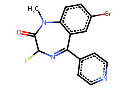 CN1C(=O)C(F)N=C(c2ccncc2)c2cc(Br)ccc21